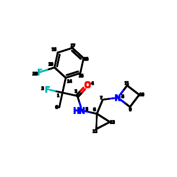 CC(F)(C(=O)NC1(CN2CCC2)CC1)c1ccccc1F